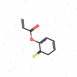 C=CC(=O)OC1=CC=CCC1=S